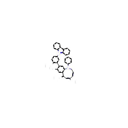 C=C1/C=C(C)\C=C/CN(c2ccccc2)c2cc(-c3cc(-n4c5ccccc5c5ccccc54)ccc3C)c(C)cc21